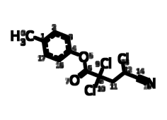 Cc1ccc(OC(=O)C(Cl)(Cl)CC(Cl)C#N)cc1